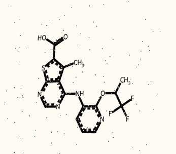 Cc1c(C(=O)O)sc2ncnc(Nc3cccnc3OC(C)C(F)(F)F)c12